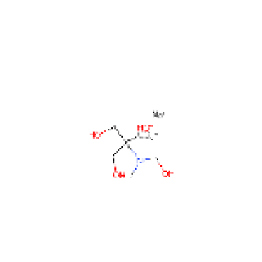 CN(CO)C(CO)(CO)C(=O)O.[Na+].[OH-]